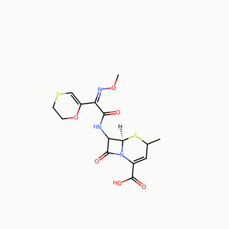 CO/N=C(\C(=O)NC1C(=O)N2C(C(=O)O)=CC(C)S[C@H]12)C1=CSCCO1